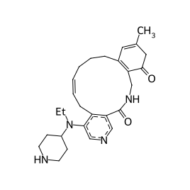 CCN(c1cncc2c1CC=CCCCC1=C(CNC2=O)C(=O)CC(C)=C1)C1CCNCC1